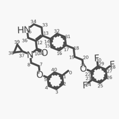 Cc1cccc(OCCN(C(=O)C2=C(c3ccc(CCCOc4c(F)ccc(F)c4F)cc3)CCNC2)C2CC2)c1